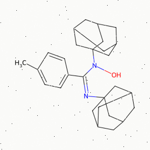 Cc1ccc(C(=NC23CC4CC(CC(C4)C2)C3)N(O)C23CC4CC(CC(C4)C2)C3)cc1